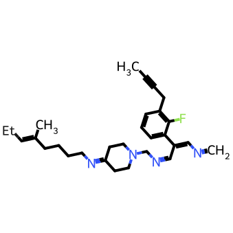 C=N/C=C(\C=N/CN1CCC(=NCCCC/C(C)=C/CC)CC1)c1cccc(CC#CC)c1F